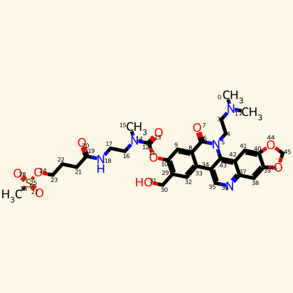 CN(C)CCn1c(=O)c2cc(OC(=O)N(C)CCNC(=O)CCCOS(C)(=O)=O)c(CO)cc2c2cnc3cc4c(cc3c21)OCO4